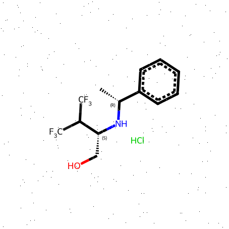 C[C@@H](N[C@H](CO)C(C(F)(F)F)C(F)(F)F)c1ccccc1.Cl